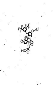 CC[C@@H]1C[C@H](Nc2ncc(OCCOC)cc2Cc2cc(C(F)(F)F)cc(C(F)(F)F)c2)c2nc(OC)ccc2N1C(=O)OCC(C)(C)C(=O)O